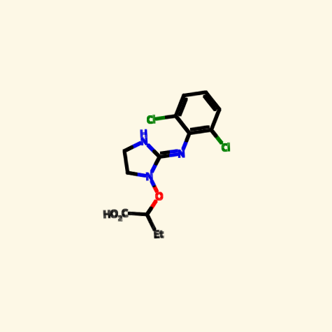 CCC(ON1CCN/C1=N\c1c(Cl)cccc1Cl)C(=O)O